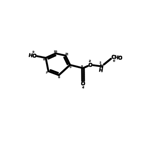 O=CNOC(=O)c1ccc(O)cc1